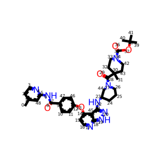 Cc1ccnc(NC(=O)c2ccc(Oc3ccnc4[nH]nc(NC5CCCN(C(=O)C6(C)CCN(C(=O)OC(C)(C)C)CC6)C5)c34)cc2)c1